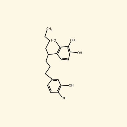 CCCCC(CCCc1ccc(O)c(O)c1)c1ccc(O)c(O)c1O